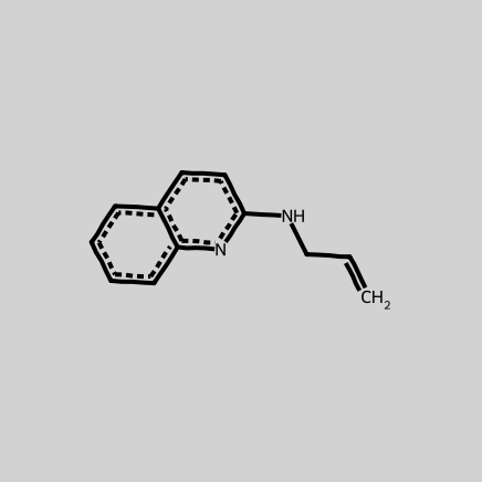 C=CCNc1ccc2ccccc2n1